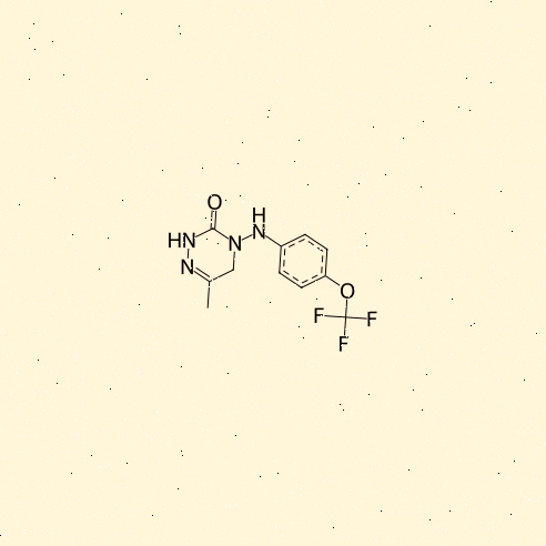 CC1=NNC(=O)N(Nc2ccc(OC(F)(F)F)cc2)C1